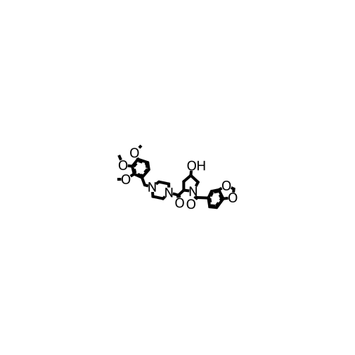 COc1ccc(CN2CCN(C(=O)C3CC(O)CN3C(=O)c3ccc4c(c3)OCO4)CC2)c(OC)c1OC